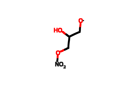 [O]CC(O)CO[N+](=O)[O-]